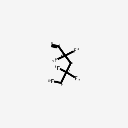 C=CC(F)(F)CC(F)(F)CF